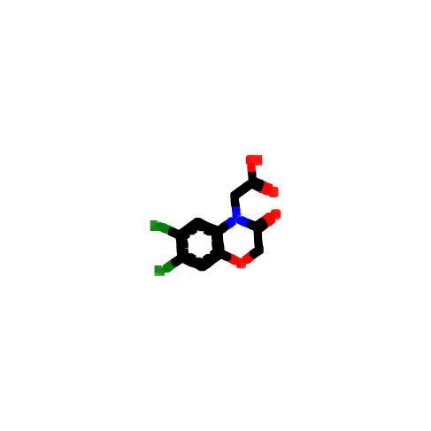 O=C(O)CN1C(=O)COc2cc(Br)c(Br)cc21